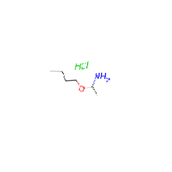 CCCCOC(C)N.Cl